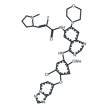 COc1cc(Oc2ccn3ncnc3c2)c(Cl)cc1Nc1ncnc2cc(N3CCOCC3)c(NC(=O)C(F)=CC3CCCN3C)cc12